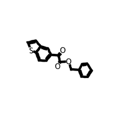 O=C(OCc1ccccc1)C(=O)c1ccc2sccc2c1